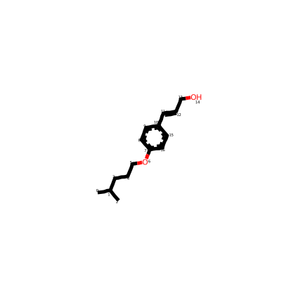 CC(C)CCCOc1ccc(C=CCO)cc1